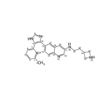 Cc1cccc(-c2[nH]cnc2-c2ccc3ncc(NCCC4CNC4)cc3c2)n1